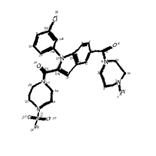 CC(C)N1CCN(C(=O)c2ccc3c(c2)cc(C(=O)N2CCN(S(=O)(=O)C(C)C)CC2)n3-c2cccc(Cl)c2)CC1